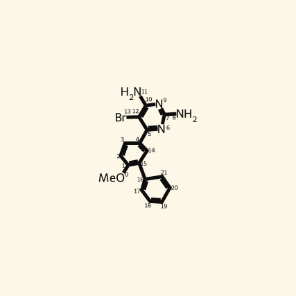 COc1ccc(-c2nc(N)nc(N)c2Br)cc1-c1ccccc1